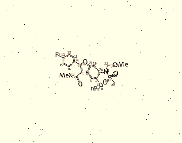 CCCOc1cc2c(C(=O)NC)c(-c3ccc(F)cc3)oc2cc1N(COC)S(C)(=O)=O